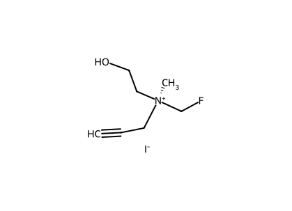 C#CC[N@+](C)(CF)CCO.[I-]